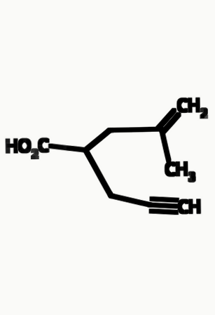 C#CCC(CC(=C)C)C(=O)O